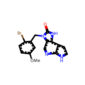 COc1ccc(Br)c(Cn2c(=O)[nH]c3c4cc[nH]c4ncc32)c1